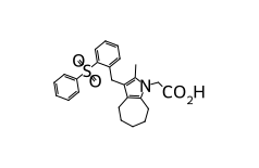 Cc1c(Cc2ccccc2S(=O)(=O)c2ccccc2)c2c(n1CC(=O)O)CCCCC2